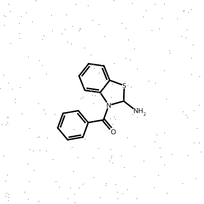 NC1Sc2ccccc2N1C(=O)c1ccccc1